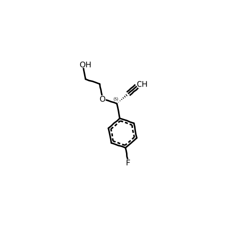 C#C[C@@H](OCCO)c1ccc(F)cc1